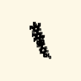 CC1CCC(C23COC(c4c(F)cc(-c5cc(F)c(F)c(F)c5)c(F)c4F)(OC2)OC3)CC1